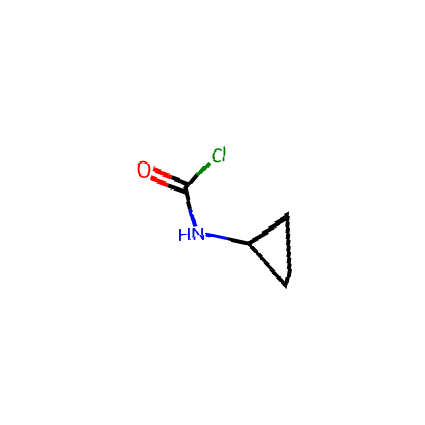 O=C(Cl)NC1CC1